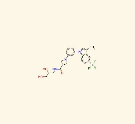 Cc1cn(-c2cccc(N3CC(C(=O)NCC(O)CO)C3)c2)c2ccc(C(F)(F)F)cc12